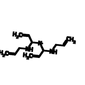 C=CCNC(C=C)[N]C(C=C)NCC=C